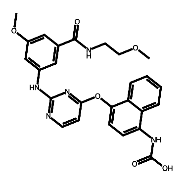 COCCNC(=O)c1cc(Nc2nccc(Oc3ccc(NC(=O)O)c4ccccc34)n2)cc(OC)c1